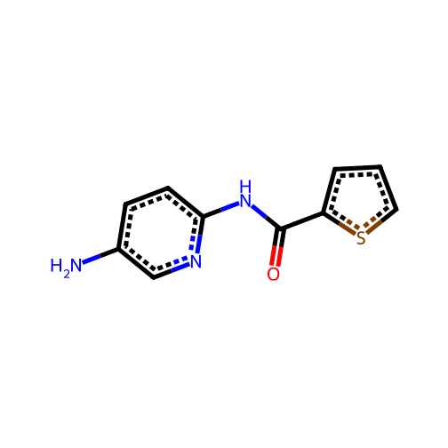 Nc1ccc(NC(=O)c2cccs2)nc1